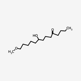 CCCCC(=O)CCCC(O)CCCCCOC